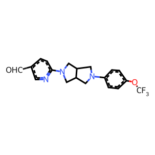 O=Cc1ccc(N2CC3CN(c4ccc(OC(F)(F)F)cc4)CC3C2)nc1